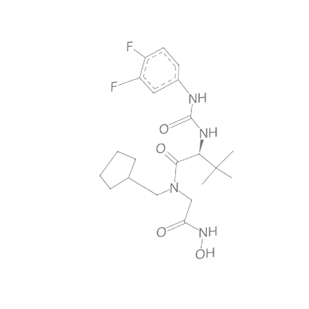 CC(C)(C)[C@H](NC(=O)Nc1ccc(F)c(F)c1)C(=O)N(CC(=O)NO)CC1CCCC1